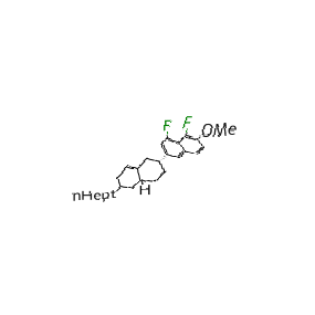 CCCCCCCC1CCC2C[C@H](c3cc(F)c4c(F)c(OC)ccc4c3)CC[C@@H]2C1